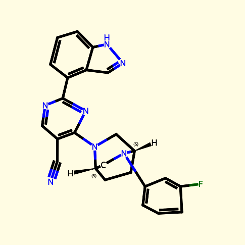 N#Cc1cnc(-c2cccc3[nH]ncc23)nc1N1C[C@@H]2CC[C@H]1CN2c1cccc(F)c1